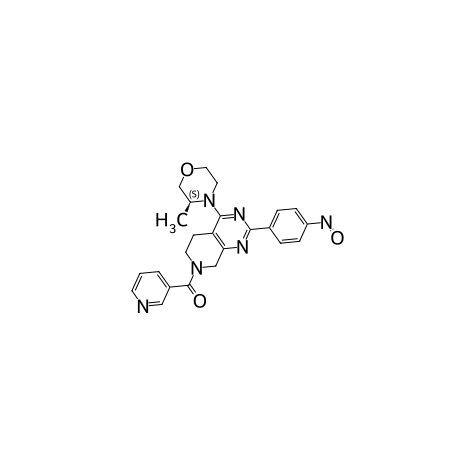 C[C@H]1COCCN1c1nc(-c2ccc(N=O)cc2)nc2c1CCN(C(=O)c1cccnc1)C2